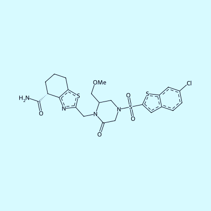 COCC1CN(S(=O)(=O)c2cc3ccc(Cl)cc3s2)CC(=O)N1Cc1nc2c(s1)CCC[C@H]2C(N)=O